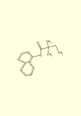 CCC(C)(C)C(=O)Oc1cccc2ccc[c]c12